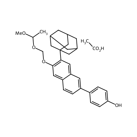 CC(=O)O.COC(C)OCOc1cc2ccc(-c3ccc(O)cc3)cc2cc1C12CC3CC(CC(C3)C1)C2